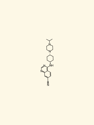 CC(C)N1CCN([C@H]2CC[C@H](Nc3ncnc4cc(C#N)ccc34)CC2)CC1